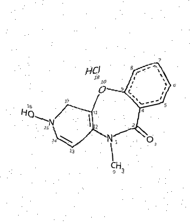 CN1C(=O)c2ccccc2OC2=C1C=CN(O)C2.Cl